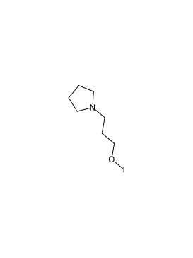 IOCCCN1CCCC1